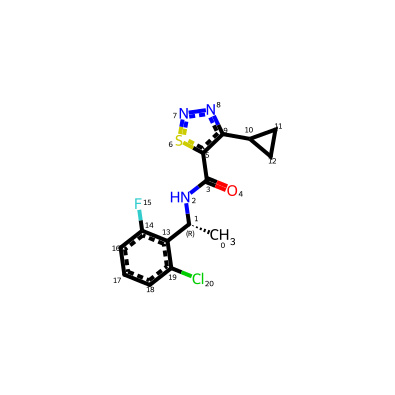 C[C@@H](NC(=O)c1snnc1C1CC1)c1c(F)cccc1Cl